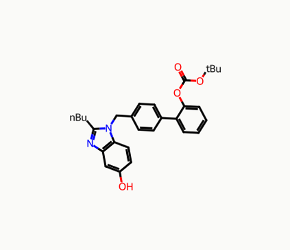 CCCCc1nc2cc(O)ccc2n1Cc1ccc(-c2ccccc2OC(=O)OC(C)(C)C)cc1